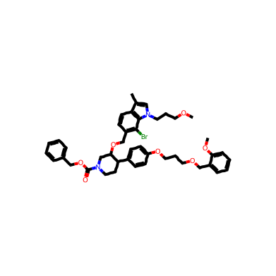 COCCCn1cc(C)c2ccc(COC3CN(C(=O)OCc4ccccc4)CCC3c3ccc(OCCCOCc4ccccc4OC)cc3)c(Br)c21